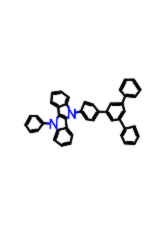 c1ccc(-c2cc(-c3ccccc3)cc(-c3ccc(-n4c5ccccc5c5c4c4ccccc4n5-c4ccccc4)cc3)c2)cc1